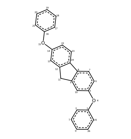 c1ccc(Oc2ccc3c(c2)Cc2cc(Oc4ccccc4)ccc2-3)cc1